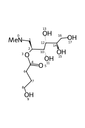 CNC[C@H](OC(=O)CCCO)[C@@H](O)[C@H](O)[C@H](O)CO